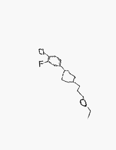 CCOCCCC1CCC(c2ccc(Cl)c(F)c2)CC1